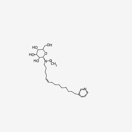 CON(CCCC/C=C\CCCCCCCCc1cccnc1)[C@@H]1OC(CO)[C@@H](O)[C@H](O)C1O